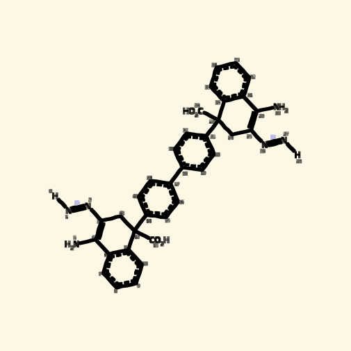 [H]/N=N/C1=C(N)c2ccccc2C(C(=O)O)(c2ccc(-c3ccc(C4(C(=O)O)CC(/N=N/[H])=C(N)c5ccccc54)cc3)cc2)C1